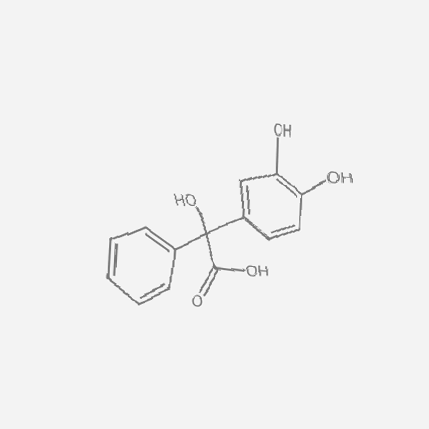 O=C(O)C(O)(c1ccccc1)c1ccc(O)c(O)c1